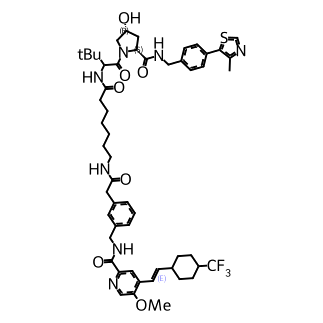 COc1cnc(C(=O)NCc2cccc(CC(=O)NCCCCCCC(=O)NC(C(=O)N3C[C@H](O)C[C@H]3C(=O)NCc3ccc(-c4scnc4C)cc3)C(C)(C)C)c2)cc1/C=C/C1CCC(C(F)(F)F)CC1